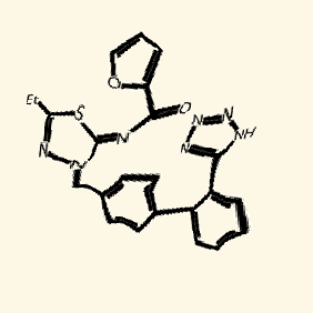 CCc1nn(Cc2ccc(-c3ccccc3-c3nnn[nH]3)cc2)c(=NC(=O)c2ccco2)s1